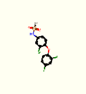 CCS(=O)(=O)Nc1ccc(Oc2ccc(F)cc2F)c(Br)c1